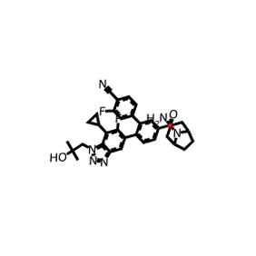 CC(C)(O)Cn1nnc2cc(-c3ccc(C(=O)N4C5CCC4CC(N)C5)cc3-c3ccc(C#N)c(F)c3)c(F)c(C3CC3)c21